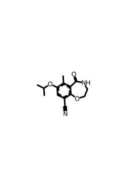 Cc1c(OC(C)C)cc(C#N)c2c1C(=O)NCCO2